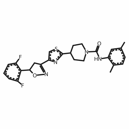 Cc1ccc(C)c(NC(=O)N2CCC(c3nc(C4=NOC(c5c(F)cccc5F)C4)cs3)CC2)c1